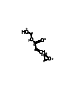 C1CO1.C=CC(=O)OCO